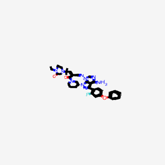 CCN1CCN(C(C)(C)/C=C(/C#N)C(=O)N2CCC[C@@H](n3nc(-c4ccc(Oc5ccccc5)cc4F)c4c(N)ncnc43)C2)CC1=O